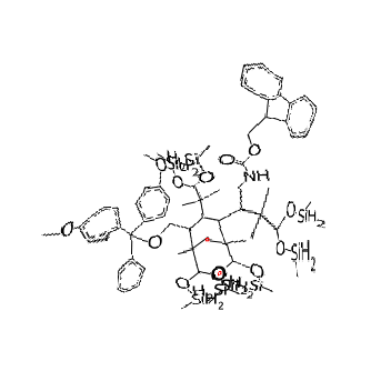 COc1ccc(C(OCC(C(C(C(CNC(=O)OCC2c3ccccc3-c3ccccc32)C(C)(C)C(O[SiH2]C)O[SiH2]C)C(C)(C)C(O[SiH2]C)O[SiH2]C)C(C)(C)C(O[SiH2]C)O[SiH2]C)C(C)(C)C(O[SiH2]C)O[SiH2]C)(c2ccccc2)c2ccc(OC)cc2)cc1